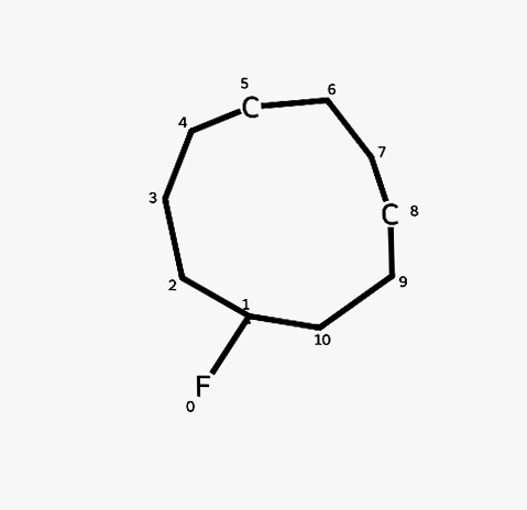 F[C]1CCCCCCCCC1